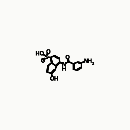 Nc1cccc(C(=O)Nc2ccc(S(=O)(=O)O)c3ccc(O)cc23)c1